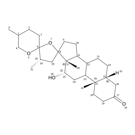 CC1CCC2(OC1)OC1(CCC3C4CC[C@@H]5CC(=O)CC[C@]5(C)C4C[C@H](O)[C@@]31C)C[C@@H]2C